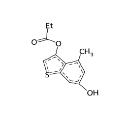 CCC(=O)Oc1csc2cc(O)cc(C)c12